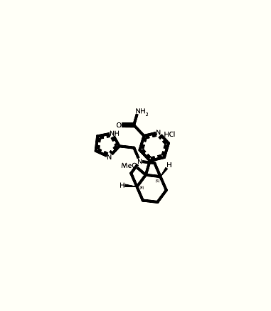 COC1(c2ccnc(C(N)=O)c2)[C@@H]2CCC[C@H]1CN(Cc1ncc[nH]1)C2.Cl